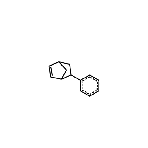 C1=CC2CC1CC2c1ccccc1